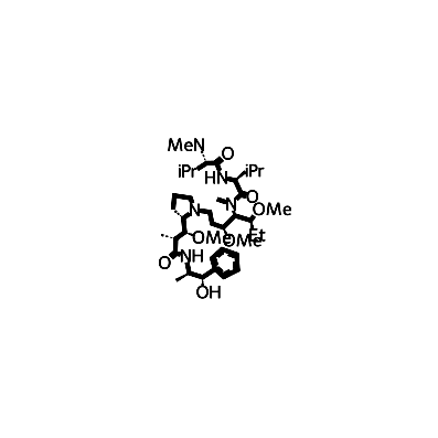 CC[C@H](OC)[C@@H]([C@@H](CCN1CCC[C@H]1[C@H](OC)[C@@H](C)C(=O)N[C@H](C)[C@@H](O)c1ccccc1)OC)N(C)C(=O)[C@@H](NC(=O)[C@@H](NC)C(C)C)C(C)C